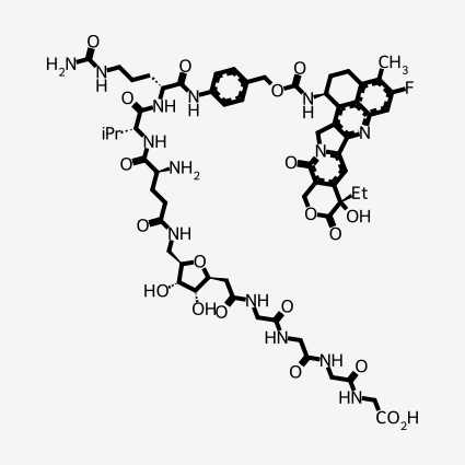 CC[C@@]1(O)C(=O)OCc2c1cc1n(c2=O)Cc2c-1nc1cc(F)c(C)c3c1c2[C@@H](NC(=O)OCc1ccc(NC(=O)[C@@H](CCCNC(N)=O)NC(=O)[C@H](NC(=O)[C@@H](N)CCC(=O)NC[C@H]2O[C@@H](CC(=O)NCC(=O)NCC(=O)NCC(=O)NCC(=O)O)[C@H](O)[C@@H]2O)C(C)C)cc1)CC3